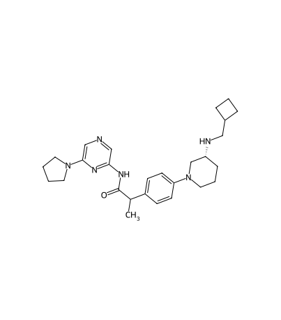 CC(C(=O)Nc1cncc(N2CCCC2)n1)c1ccc(N2CCC[C@@H](NCC3CCC3)C2)cc1